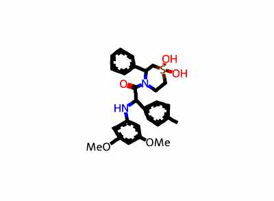 COc1cc(NC(C(=O)N2CCS(O)(O)CC2c2ccccc2)c2ccc(C)cc2)cc(OC)c1